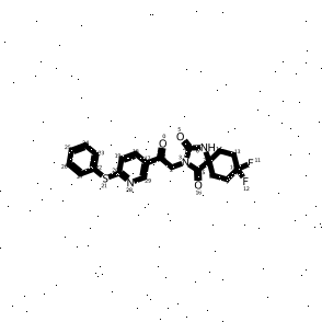 O=C(CN1C(=O)NC2(CCC(F)(F)CC2)C1=O)c1ccc(Sc2ccccc2)nc1